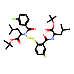 CC(C)CC(NC(=O)c1cc(F)ccc1SSN(C(=O)c1cccc(F)c1)C(CC(C)C)C(=O)OC(C)(C)C)C(=O)OC(C)(C)C